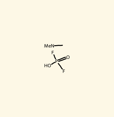 CNC.O=P(O)(F)F